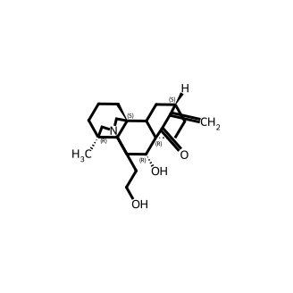 C=C1C(=O)[C@]23CC[C@H]1CC2[C@@]12CCC[C@@](C)(CN(CCO)C1)C2C[C@H]3O